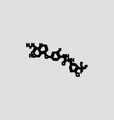 NC(=O)c1nccc(Oc2ccc(NC(=O)Nc3ccc(Cl)c(C(F)(F)F)c3)c(F)c2)c1CO